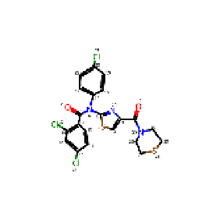 O=C(c1csc(N(C(=O)c2ccc(Cl)cc2Cl)c2ccc(Cl)cc2)n1)N1CCSCC1